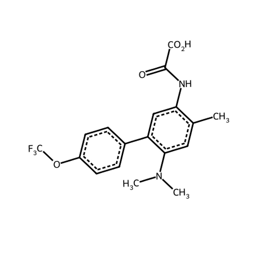 Cc1cc(N(C)C)c(-c2ccc(OC(F)(F)F)cc2)cc1NC(=O)C(=O)O